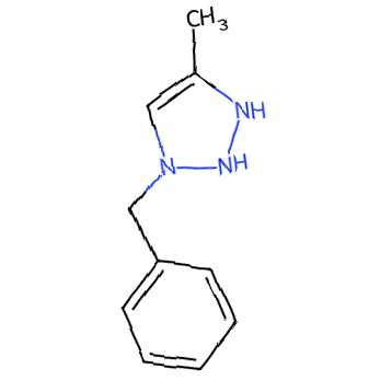 CC1=CN(Cc2ccccc2)NN1